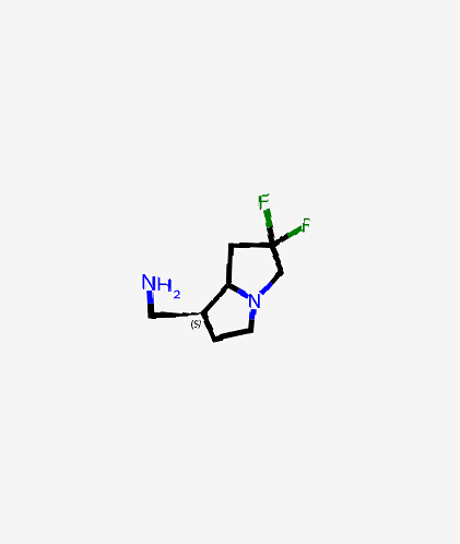 NC[C@@H]1CCN2CC(F)(F)CC12